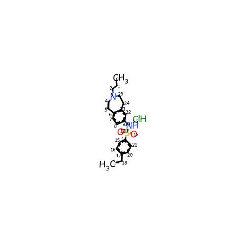 CCCN1CCc2ccc(NS(=O)(=O)c3ccc(CC)cc3)cc2CC1.Cl